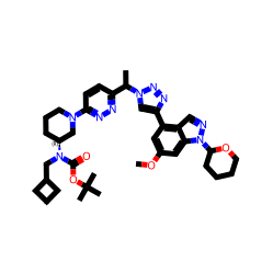 COc1cc(-c2cn(C(C)c3ccc(N4CCC[C@@H](N(CC5CCC5)C(=O)OC(C)(C)C)C4)nn3)nn2)c2cnn(C3CCCCO3)c2c1